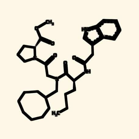 CCCC[C@H](NC(=O)Cc1c[nH]c2ccccc12)C(=O)N(CC(=O)N1CCC[C@@H]1C(=O)OC)CC1CCCCCCC1